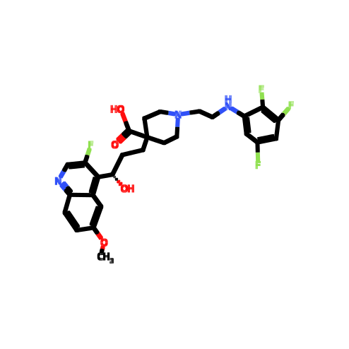 COc1ccc2ncc(F)c([C@@H](O)CCC3(C(=O)O)CCN(CCNc4cc(F)cc(F)c4F)CC3)c2c1